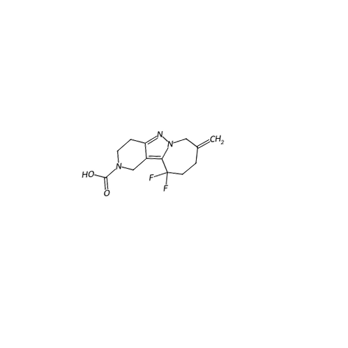 C=C1CCC(F)(F)c2c3c(nn2C1)CCN(C(=O)O)C3